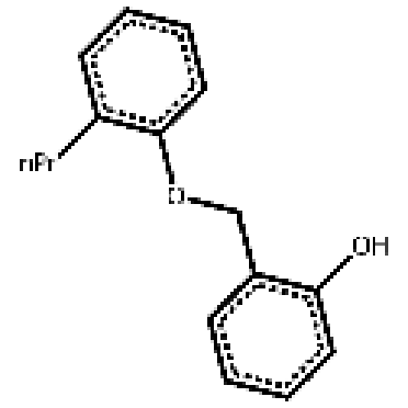 CCCc1ccccc1OCc1ccccc1O